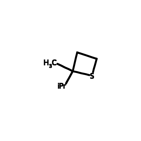 CC(C)C1(C)CCS1